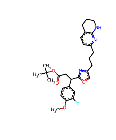 COc1ccc(C(CC(=O)OC(C)(C)C)c2nc(CCCc3ccc4c(n3)NCCC4)co2)cc1F